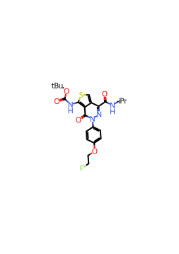 CC(C)NC(=O)c1nn(-c2ccc(OCCF)cc2)c(=O)c2c(NC(=O)OC(C)(C)C)scc12